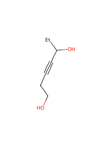 CCC(O)C#CCCO